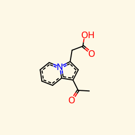 CC(=O)c1cc(CC(=O)O)n2ccccc12